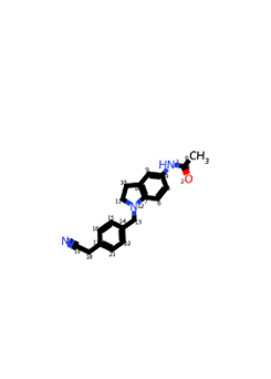 CC(=O)Nc1ccc2c(c1)CCN2Cc1ccc(CC#N)cc1